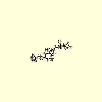 O=C(NCc1cc2c(F)cc(OCc3cscn3)cc2[nH]1)N1CCC1